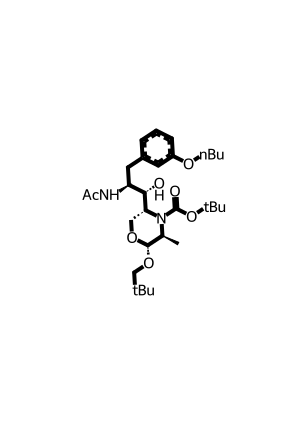 CCCCOc1cccc(C[C@H](NC(C)=O)[C@H](O)[C@H]2CO[C@@H](OCC(C)(C)C)[C@H](C)N2C(=O)OC(C)(C)C)c1